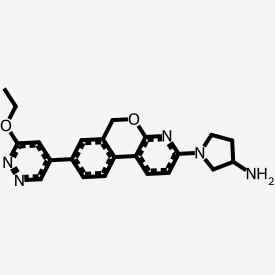 CCOc1cc(-c2ccc3c(c2)COc2nc(N4CCC(N)C4)ccc2-3)cnn1